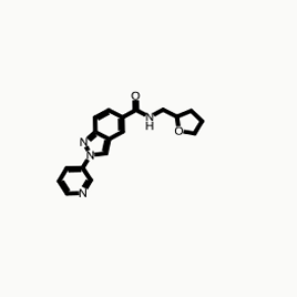 O=C(NCC1CCCO1)c1ccc2nn(-c3cccnc3)cc2c1